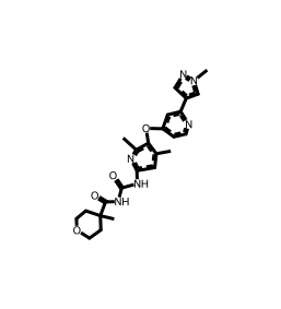 Cc1cc(NC(=O)NC(=O)C2(C)CCOCC2)nc(C)c1Oc1ccnc(-c2cnn(C)c2)c1